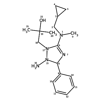 CN(CC1CC1)C1=NC(c2ccccc2)N(N)N1CC(C)(C)O